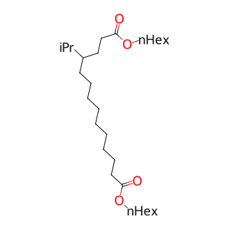 CCCCCCOC(=O)CCCCCCCCCC(CCC(=O)OCCCCCC)C(C)C